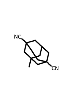 CC12CC3CC(C#N)(C1)CC(C#N)(C3)C2